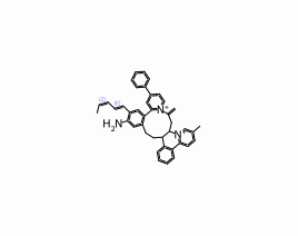 C=C1CC2C(CCc3cc(N)c(/C=C/C=C\C)cc3-c3cc(-c4ccccc4)cc[n+]31)c1ccccc1-c1ccc(C)c[n+]12